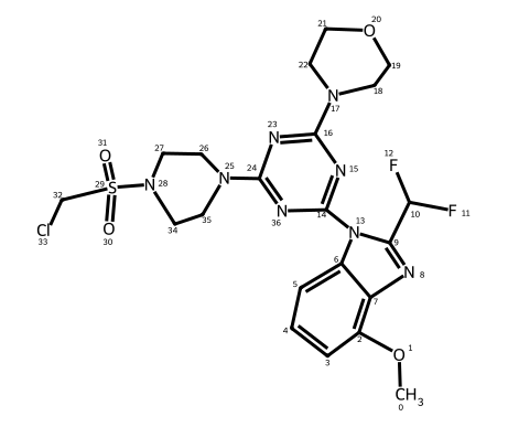 COc1cccc2c1nc(C(F)F)n2-c1nc(N2CCOCC2)nc(N2CCN(S(=O)(=O)CCl)CC2)n1